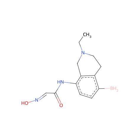 Bc1ccc(NC(=O)/C=N/O)c2c1CCN(CC)C2